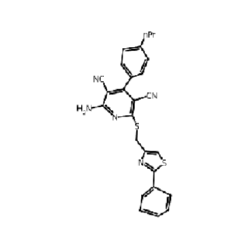 CCCc1ccc(-c2c(C#N)c(N)nc(SCc3csc(-c4ccccc4)n3)c2C#N)cc1